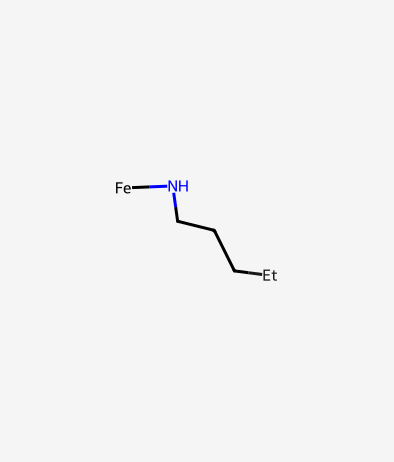 CCCCC[NH][Fe]